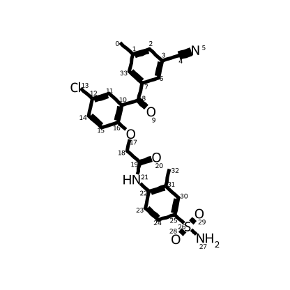 Cc1cc(C#N)cc(C(=O)c2cc(Cl)ccc2OCC(=O)Nc2ccc(S(N)(=O)=O)cc2C)c1